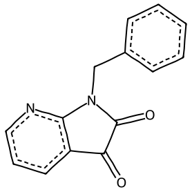 O=C1C(=O)N(Cc2ccccc2)c2ncccc21